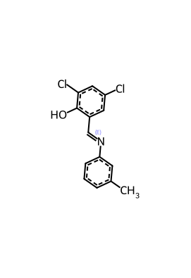 Cc1cccc(/N=C/c2cc(Cl)cc(Cl)c2O)c1